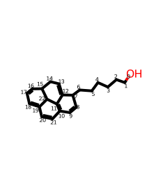 OCCCCCCC1C=CC2=C3C1=CCC1C=CC=C(C=C2)C31